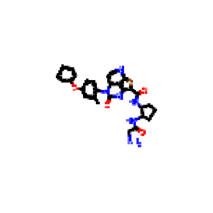 Cc1cc(Oc2ccccc2)ccc1N1C(=O)Nc2c(C(=O)NC3CCCC3NC(=O)CN)sc3nccc1c23